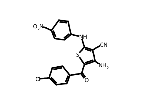 N#Cc1c(Nc2ccc([N+](=O)[O-])cc2)sc(C(=O)c2ccc(Cl)cc2)c1N